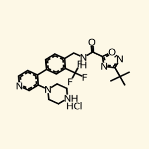 CC(C)(C)c1noc(C(=O)NCc2ccc(-c3ccncc3N3CCNCC3)cc2C(F)(F)F)n1.Cl